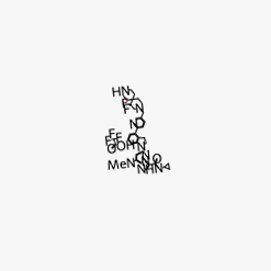 CNc1cc(N2CCc3c(-c4ccc(CN5CCC6(CCNCC6)C(F)(F)C5)cn4)cccc32)nn2c(C(=O)NC3CC3)cnc12.O=C(O)C(F)(F)F